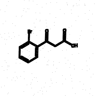 O=C(O)CC(=O)c1ccccc1Br